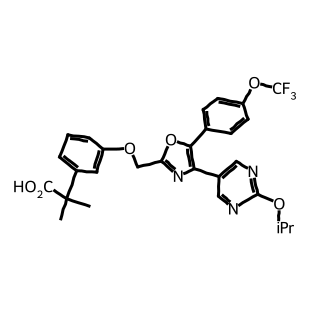 CC(C)Oc1ncc(-c2nc(COc3cccc(C(C)(C)C(=O)O)c3)oc2-c2ccc(OC(F)(F)F)cc2)cn1